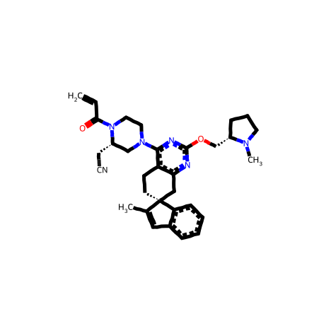 C=CC(=O)N1CCN(c2nc(OC[C@@H]3CCCN3C)nc3c2CC[C@@]2(C3)C(C)=Cc3ccccc32)C[C@@H]1CC#N